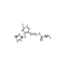 Cc1ccc(OCCCC(N)=O)c(Cn2ccnc2)c1